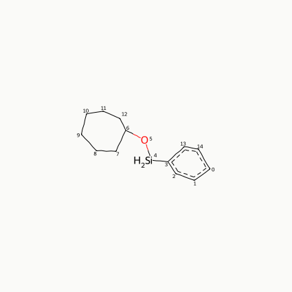 c1ccc([SiH2]OC2CCCCCC2)cc1